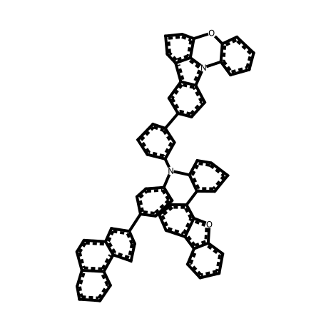 c1cc(-c2ccc3c(c2)c2cccc4c2n3-c2ccccc2O4)cc(N(c2ccc(-c3ccc4c(ccc5ccccc54)c3)cc2)c2ccccc2-c2cccc3c2oc2ccccc23)c1